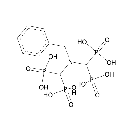 O=P(O)(O)C(N(Cc1ccccc1)C(P(=O)(O)O)P(=O)(O)O)P(=O)(O)O